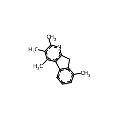 Cc1cccc2c1Cc1nc(C)c(C)c(C)c1-2